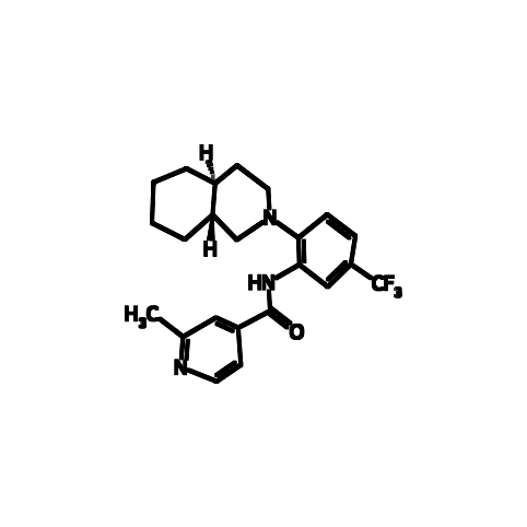 Cc1cc(C(=O)Nc2cc(C(F)(F)F)ccc2N2CC[C@@H]3CCCC[C@H]3C2)ccn1